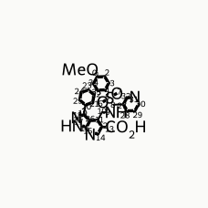 COc1ccc(S(=O)(=O)C(NCc2c(C(=O)O)cnc3[nH]nc(-c4ccccc4)c23)c2cccnc2)cc1